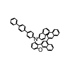 c1ccc(-c2ccc(-c3ccc(N(c4ccc5ccccc5c4)c4cccc5oc6c7ccccc7c(-c7ccc8ccccc8c7)cc6c45)cc3)cc2)cc1